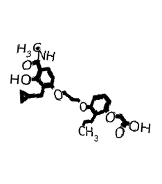 CCCc1c(OCCCOc2ccc(C(=O)NC)c(O)c2CC2CC2)cccc1OCC(=O)O